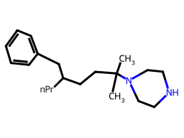 [CH2]CCC(CCC(C)(C)N1CCNCC1)Cc1ccccc1